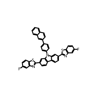 Fc1ccc2sc(-c3ccc4c5ccc(-c6nc7cc(F)ccc7s6)cc5n(-c5ccc(-c6ccc7ccccc7c6)cc5)c4c3)nc2c1